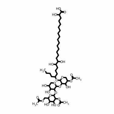 CCCCC(CCCC(O)C(O)CCCCCCCCCCCCCCC(O)C(=O)O)OC1OCC(OC(C)=O)C(O)C1OC1OCC(O)C(O)C1OC1OC(COC(C)=O)C(O)C(O)C1OC(C)=O